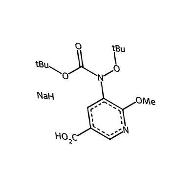 COc1ncc(C(=O)O)cc1N(OC(C)(C)C)C(=O)OC(C)(C)C.[NaH]